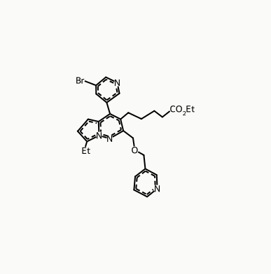 CCOC(=O)CCCCc1c(COCc2cccnc2)nn2c(CC)ccc2c1-c1cncc(Br)c1